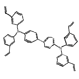 C=Cc1cccc(N(c2ccc(-c3ccc(N(c4cccc(C=C)c4)c4cccc(C=C)c4)cc3)cc2)c2cccc(C=C)c2)c1